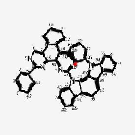 c1ccc(-c2ncc3c4ccccc4c4cnc(-n5c6ccccc6c6ccc7c8ccccc8n(-c8ccccc8)c7c65)nc4c3n2)cc1